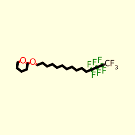 FC(F)(F)C(F)(F)C(F)(F)C(F)(F)CCCCCCCCCCCOC1CCCCO1